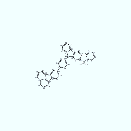 CC1(C)c2ccccc2-c2cc3c4ccccc4n(-c4ccc(-c5ccc6c(c5)-c5cccc7cccc-6c57)cc4)c3cc21